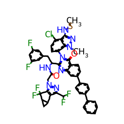 CSNc1nn(C)c2c(-n3c(C(Cc4cc(F)cc(F)c4)NC(=O)Cn4nc(C(F)F)c5c4C(F)(F)C4CC54)nc4cc(-c5ccc(-c6ccccc6)cc5)ccc4c3=O)ccc(Cl)c12